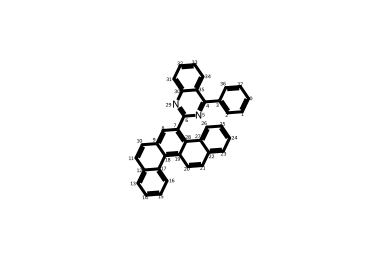 c1ccc(-c2nc(-c3cc4ccc5ccccc5c4c4ccc5ccccc5c34)nc3ccccc23)cc1